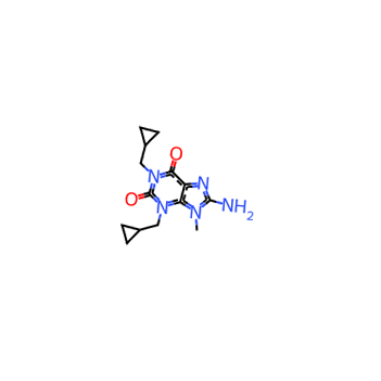 Cn1c(N)nc2c(=O)n(CC3CC3)c(=O)n(CC3CC3)c21